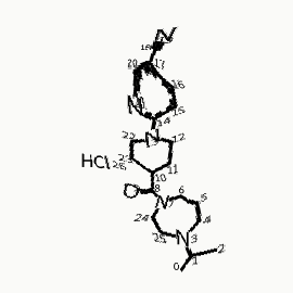 CC(C)N1CCCN(C(=O)C2CCN(c3ccc(C#N)cn3)CC2)CC1.Cl